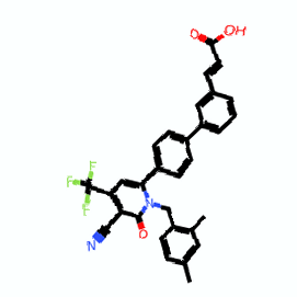 Cc1ccc(Cn2c(-c3ccc(-c4cccc(C=CC(=O)O)c4)cc3)cc(C(F)(F)F)c(C#N)c2=O)c(C)c1